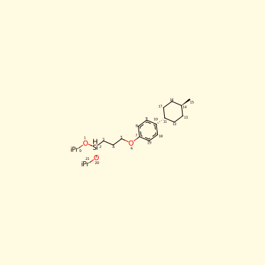 CC(C)O[SiH](CCCOc1ccc([C@H]2CC[C@H](C)CC2)cc1)OC(C)C